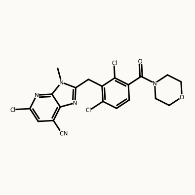 Cn1c(Cc2c(Cl)ccc(C(=O)N3CCOCC3)c2Cl)nc2c(C#N)cc(Cl)nc21